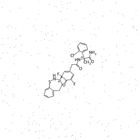 C[C@](NC(=O)CC1=CC(F)([C@H]2CCc3ccccc3SN2)C(=O)C(F)=C1)(C(N)=O)c1ccccc1Cl